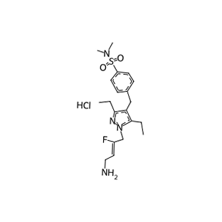 CCc1nn(CC(F)=CCN)c(CC)c1Cc1ccc(S(=O)(=O)N(C)C)cc1.Cl